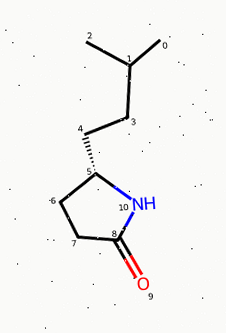 CC(C)CC[C@H]1CCC(=O)N1